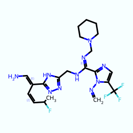 C=Nn1c(C(F)(F)F)cnc1/C(=N\CN1CCCCC1)NCc1nnc(C(/C=C\C(C)F)=C/N)[nH]1